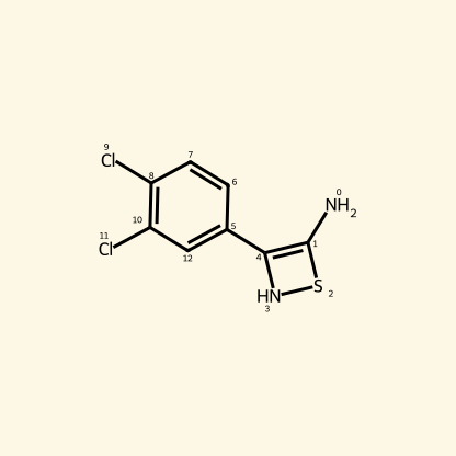 Nc1s[nH]c1-c1ccc(Cl)c(Cl)c1